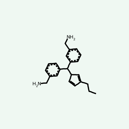 CCCC1=C[C](C(c2cccc(CN)c2)c2cccc(CN)c2)C=C1